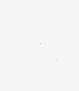 Clc1cccc(N(CCC2CC2)Cc2cnc[nH]2)c1